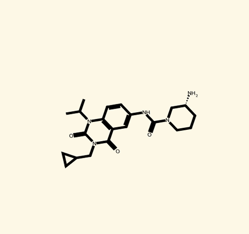 CC(C)n1c(=O)n(CC2CC2)c(=O)c2cc(NC(=O)N3CCC[C@@H](N)C3)ccc21